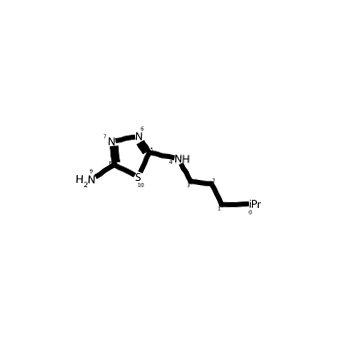 CC(C)CCCNc1nnc(N)s1